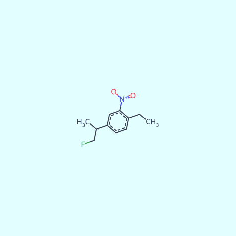 CCc1ccc([C](C)CF)cc1[N+](=O)[O-]